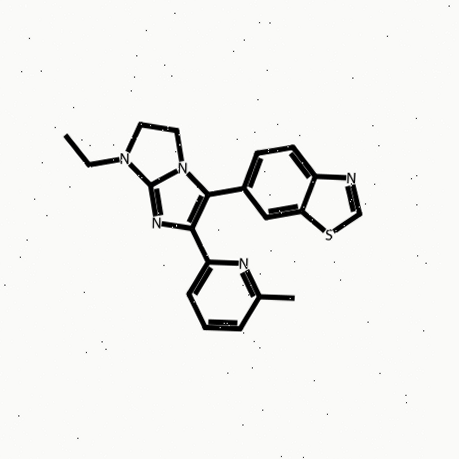 CCN1CCn2c1nc(-c1cccc(C)n1)c2-c1ccc2ncsc2c1